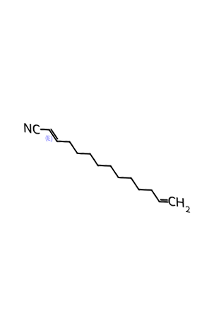 C=CCCCCCCCCC/C=C/C#N